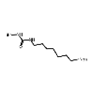 CCCCCCCCCCCCCCCCNC(=O)NC(C)C